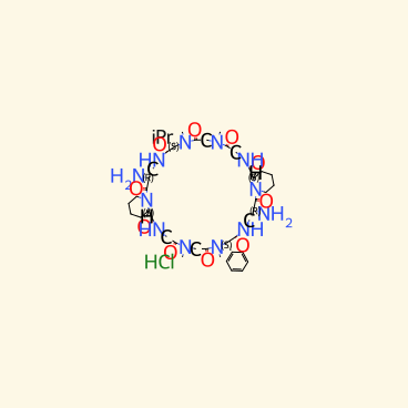 CC(C)[C@H]1C(=O)NC[C@@H](N)C(=O)N2CCCC[C@H]2C(=O)NCC(=O)N(C)CC(=O)N(C)[C@@H](c2ccccc2)C(=O)NC[C@@H](N)C(=O)N2CCCC[C@H]2C(=O)NCC(=O)N(C)CC(=O)N1C.Cl